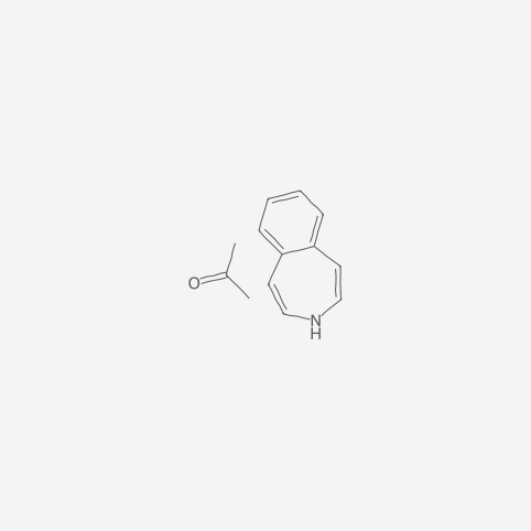 C1=Cc2ccccc2C=CN1.CC(C)=O